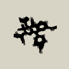 CC(C)Cn1c(CN(C(=O)O)C(C)(C)C)c(-c2ccc(F)cc2)c2cc(O)ccc2c1=O